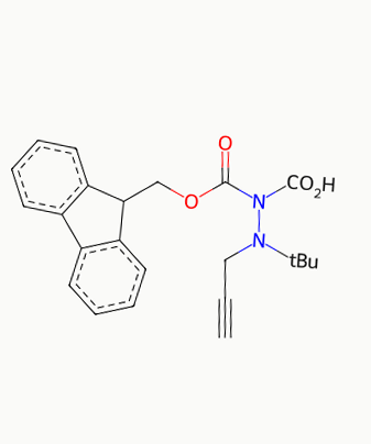 C#CCN(N(C(=O)O)C(=O)OCC1c2ccccc2-c2ccccc21)C(C)(C)C